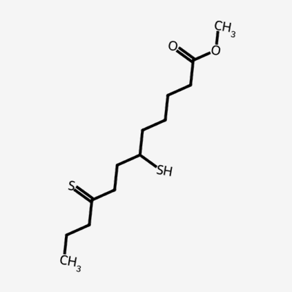 CCCC(=S)CCC(S)CCCCC(=O)OC